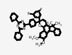 COc1cc2c3c(c4c(c2cc1OC)-c1ccccc1C4(C)C)C=CC(c1ccc(-c2nc(-c4ccccc4)nc(-c4ccccc4)n2)cc1)(c1cc(F)cc(F)c1)O3